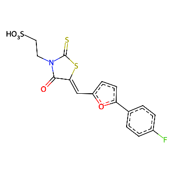 O=C1/C(=C/c2ccc(-c3ccc(F)cc3)o2)SC(=S)N1CCS(=O)(=O)O